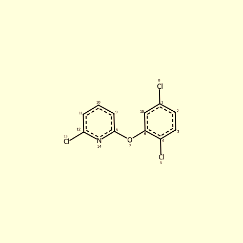 Clc1ccc(Cl)c(Oc2cccc(Cl)n2)c1